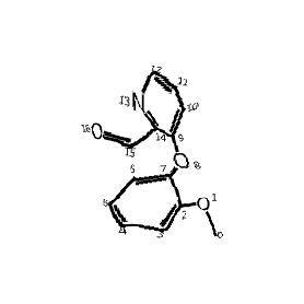 COc1ccccc1Oc1cccnc1C=O